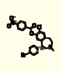 CN1CCc2cc(Cl)c(OC(=O)c3ccc([N+](=O)[O-])cc3)cc2[C@@H](c2ccc(Br)cc2)C1